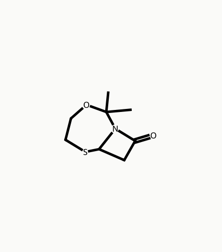 CC1(C)OCCSC2CC(=O)N21